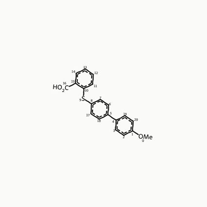 COc1ccc(-c2ccc(Sc3ccccc3C(=O)O)cc2)cc1